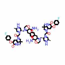 C[C@@H]1CN(CC(=O)N2CC(C)(C)c3[nH]c(=O)c(Oc4ccc(F)cc4)cc32)[C@@H](CN2CCOC(C(N)=O)C2Cc2ccc(CC3C(C(N)=O)OCCN3C[C@H]3CN[C@H](C)CN3CC(=O)N3CC(C)(C)c4[nH]c(=O)c(Oc5ccc(F)cc5)cc43)cc2)CN1